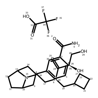 NC(=O)c1cccc(C2CC3CCC(C2)N3CCN(CC2CCC2)C(=O)[C@H](O)CO)c1.O=C(O)C(F)(F)F